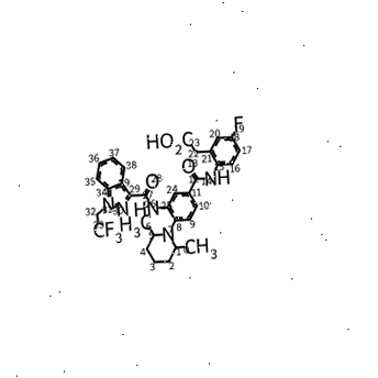 CC1CCCC(C)N1c1ccc(C(=O)Nc2ccc(F)cc2CC(=O)O)cc1NC(=O)c1nn(CC(F)(F)F)c2ccccc12